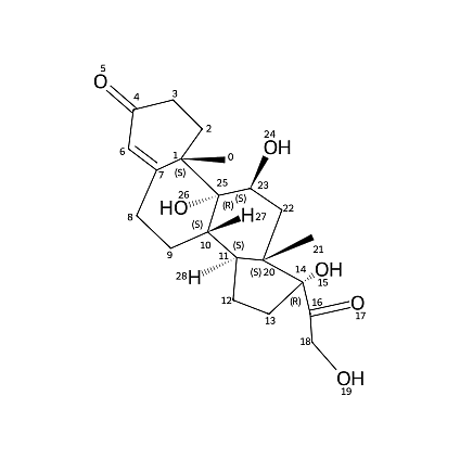 C[C@]12CCC(=O)C=C1CC[C@H]1[C@@H]3CC[C@](O)(C(=O)CO)[C@@]3(C)C[C@H](O)[C@@]12O